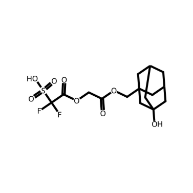 O=C(COC(=O)C(F)(F)S(=O)(=O)O)OCC12CC3CC(CC(O)(C3)C1)C2